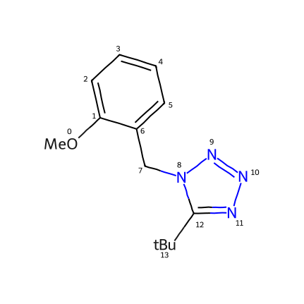 COc1ccccc1Cn1nnnc1C(C)(C)C